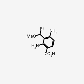 CCC(OC)c1c(N)ccc(C(=O)O)c1N